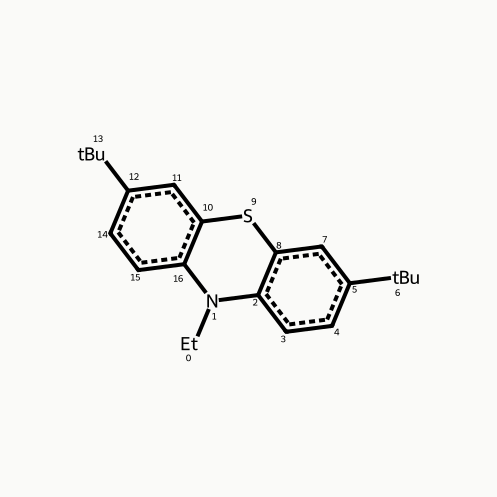 CCN1c2ccc(C(C)(C)C)cc2Sc2cc(C(C)(C)C)ccc21